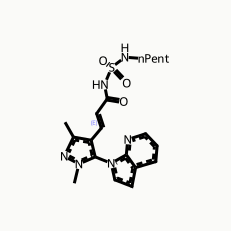 CCCCCNS(=O)(=O)NC(=O)/C=C/c1c(C)nn(C)c1-n1ccc2cccnc21